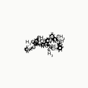 Cc1c(Nc2nc3ccccc3s2)nnc2c1CCCN2c1ccc(-c2cnn(CC34CC5(C)CC(C)(C3)CC(OCCN3CCCC3)(C5)C4)c2C)c(C(=O)NC(C)C)n1